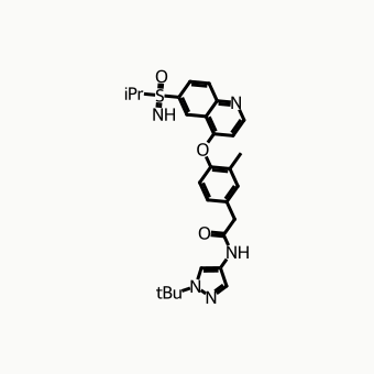 Cc1cc(CC(=O)Nc2cnn(C(C)(C)C)c2)ccc1Oc1ccnc2ccc(S(=N)(=O)C(C)C)cc12